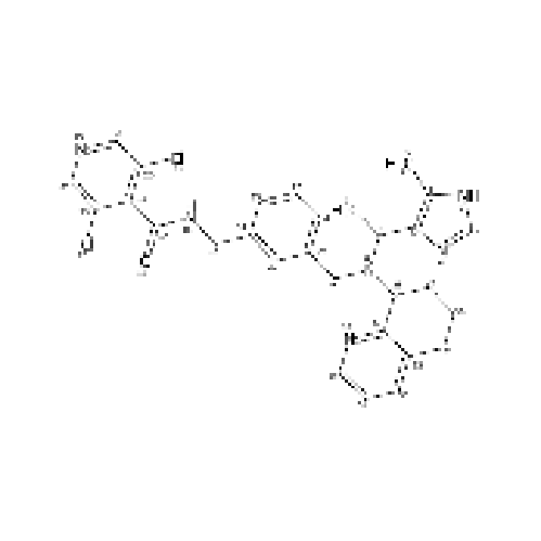 Cc1[nH]cnc1C(C)N(Cc1cccc(CNC(=O)c2c(Cl)cncc2Cl)c1)C1CCCc2cccnc21